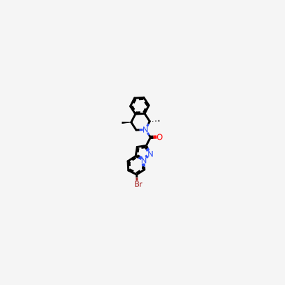 C[C@@H]1CN(C(=O)c2cc3ccc(Br)cn3n2)[C@@H](C)c2ccccc21